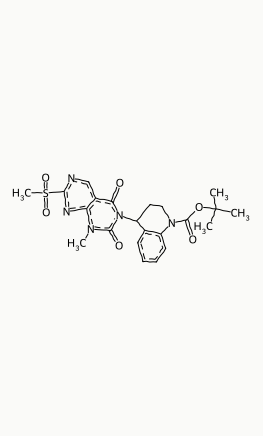 Cn1c(=O)n(C2CCN(C(=O)OC(C)(C)C)c3ccccc32)c(=O)c2cnc(S(C)(=O)=O)nc21